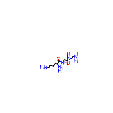 CNCCCCC(NI)C(=O)NCC(=O)NCCNI